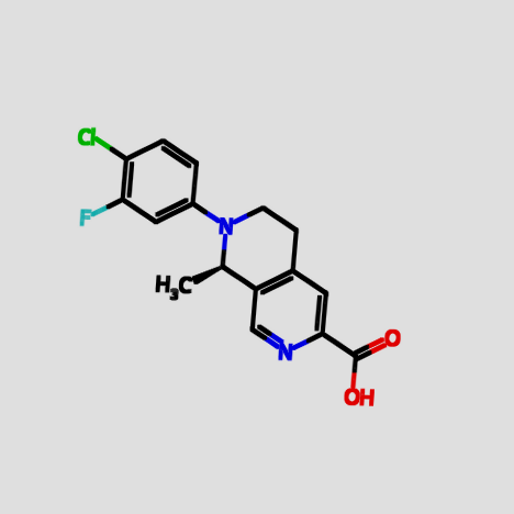 C[C@@H]1c2cnc(C(=O)O)cc2CCN1c1ccc(Cl)c(F)c1